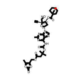 C#C[C@]1(CO)O[C@@H](n2cnc3c(NC(=O)OC(C)(C)CC(=O)OCc4oc(=O)oc4C)nc(C)nc32)C[C@@H]1OC(=O)C12CCC(CC1)CC2